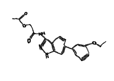 CCOc1cccc(-c2ccc3c(NC(=O)COC(C)=O)n[nH]c3c2)c1